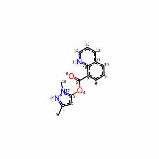 Cc1cc(OC(=O)c2cccc3cccnc23)n(C)n1